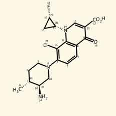 C[C@@H]1CCN(c2ccc3c(=O)c(C(=O)O)cn([C@@H]4C[C@@H]4F)c3c2Cl)C[C@H]1N